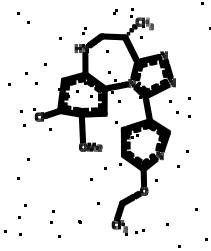 COc1cc2c(cc1Cl)NC[C@H](C)c1nnc(-c3ccc(OCC(F)(F)F)nc3)n1-2